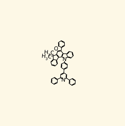 CC1(C)c2ccccc2-c2c1c1oc3ccccc3c1c1c3ccccc3n(-c3ccc(-c4cc(-c5ccccc5)nc(-c5ccccc5)c4)cc3)c21